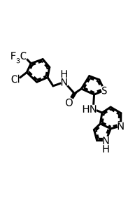 O=C(NCc1ccc(C(F)(F)F)c(Cl)c1)c1ccsc1Nc1ccnc2[nH]ccc12